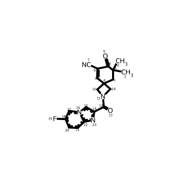 CC1(C)CC2(C=C(C#N)C1=O)CN(C(=O)c1cn3cc(F)ccc3n1)C2